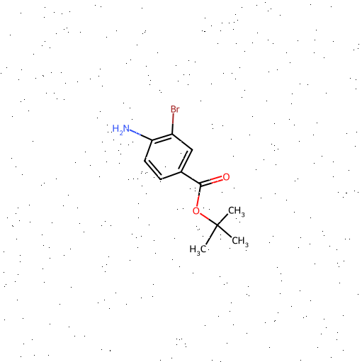 CC(C)(C)OC(=O)c1ccc(N)c(Br)c1